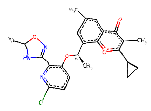 [2H]C1NC(c2nc(Cl)ccc2O[C@H](C)c2cc(C)cc3c(=O)c(C)c(C4CC4)oc23)=NO1